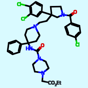 CCOC(=O)CN1CCN(C(=O)NC2(c3ccccc3)CCN(CCC3(c4ccc(Cl)c(Cl)c4)CCN(C(=O)c4ccc(Cl)cc4)C3)CC2)CC1